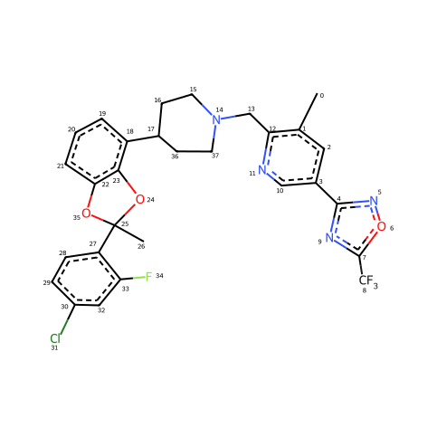 Cc1cc(-c2noc(C(F)(F)F)n2)cnc1CN1CCC(c2cccc3c2OC(C)(c2ccc(Cl)cc2F)O3)CC1